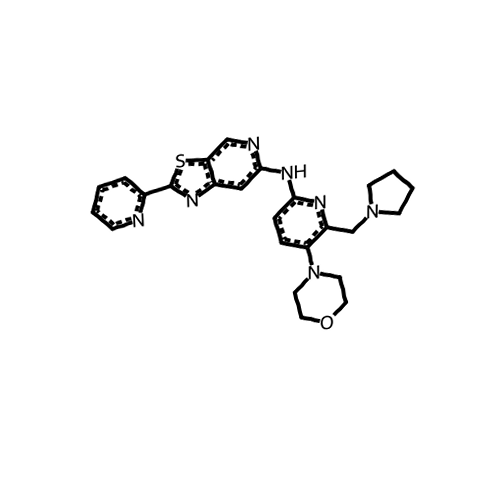 c1ccc(-c2nc3cc(Nc4ccc(N5CCOCC5)c(CN5CCCC5)n4)ncc3s2)nc1